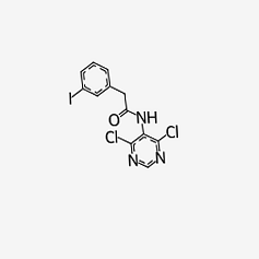 O=C(Cc1cccc(I)c1)Nc1c(Cl)ncnc1Cl